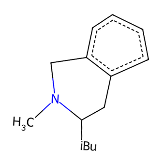 CCC(C)C1Cc2ccccc2CN1C